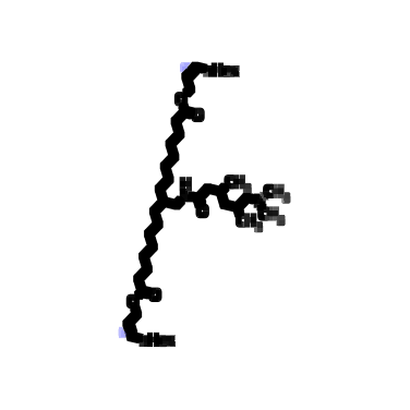 CCCCCC/C=C\COC(=O)CCCCCCCC(CCCCCCCC(=O)OC/C=C\CCCCCC)CNC(=O)CC(C)CC(C)CN(C)C